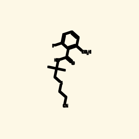 CC(C)(CSCCC#N)NC(=O)c1c(F)cccc1C(=O)O